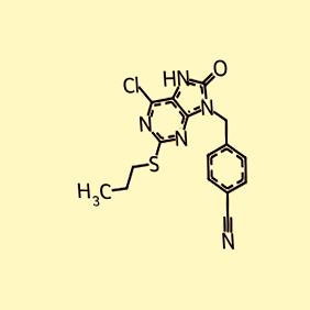 CCCSc1nc(Cl)c2[nH]c(=O)n(Cc3ccc(C#N)cc3)c2n1